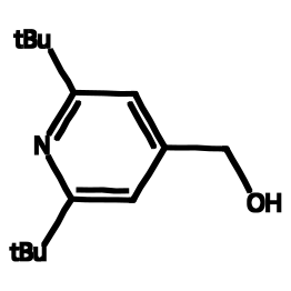 CC(C)(C)c1cc(CO)cc(C(C)(C)C)n1